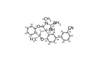 CN1C(=O)C2(CC(C)(c3ccccc3)Oc3ccc(-c4cccc(C#N)c4)cc32)NC1N